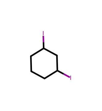 IC1CCCC(I)C1